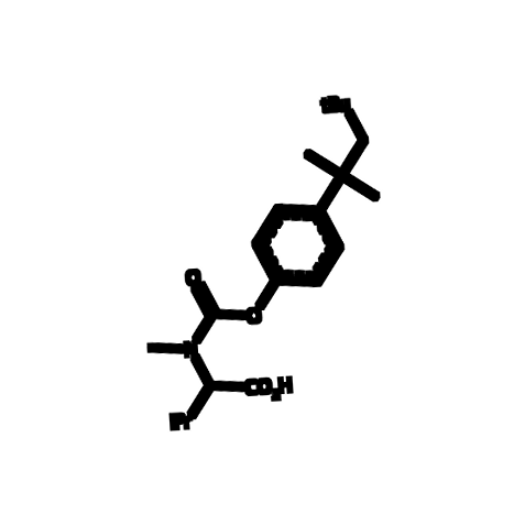 CC(C)C(C(=O)O)N(C)C(=O)Oc1ccc(C(C)(C)CC(C)(C)C)cc1